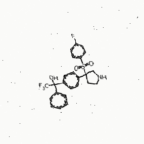 O=S(=O)(c1ccc(F)cc1)C1(c2ccc(C(O)(c3ccccc3)C(F)(F)F)cc2)CCNC1